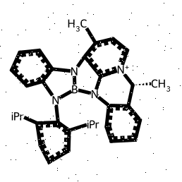 Cc1cc[n+]2c3c1N1B(N(c4c(C(C)C)cccc4C(C)C)c4ccccc41)N3c1ccccc1[C@H]2C